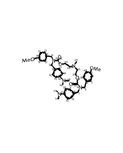 COc1ccc(CN(Cc2ccc(N(C)C)cc2)C(=O)OCCN(C)CCOC(=O)N(Cc2ccc(OC)cc2)Cc2ccc(N(C)C)cc2)cc1